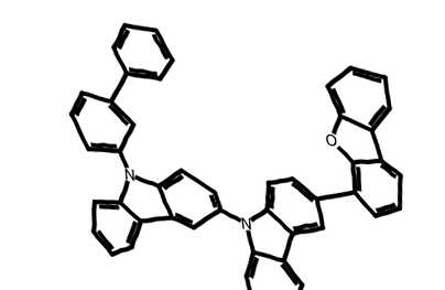 c1ccc(-c2cccc(-n3c4ccccc4c4cc(-n5c6ccccc6c6cc(-c7cccc8c7oc7ccccc78)ccc65)ccc43)c2)cc1